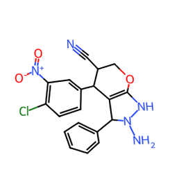 N#CC1COC2=C(C1c1ccc(Cl)c([N+](=O)[O-])c1)C(c1ccccc1)N(N)N2